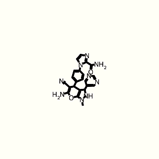 CN1NC(c2cncnc2)C2=C1OC(N)=C(C#N)C2c1ccc(-n2ccnc2C(N)=O)cc1